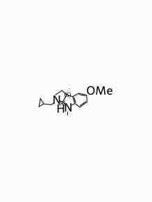 COc1ccc2c(c1)[C@]1(C)CCN(CC3CC3)[C@@H]1N2C